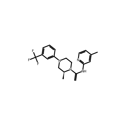 C=C(Nc1cc(C)ccn1)N1CCN(c2cccc(C(F)(F)F)c2)C[C@@H]1C